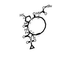 CC(C)(C)OC(=O)N[C@@H]1CCCCC/C=C\[C@@H]2N(S(=O)(=O)C3CC3)C(=O)[C@]2(F)NC(=O)[C@@H]2C[C@@H](S)CN2C1=O